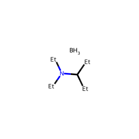 B.CCC(CC)N(CC)CC